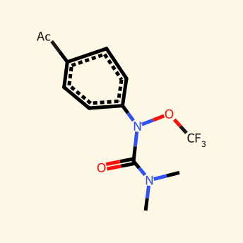 CC(=O)c1ccc(N(OC(F)(F)F)C(=O)N(C)C)cc1